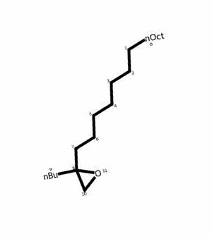 CCCCCCCCCCCCCCCC1(CCCC)CO1